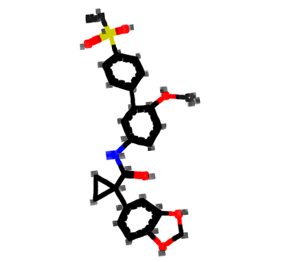 CNS(=O)(=O)c1ccc(-c2cc(NC(=O)C3(c4ccc5c(c4)OCO5)CC3)ccc2OC(F)(F)F)cc1